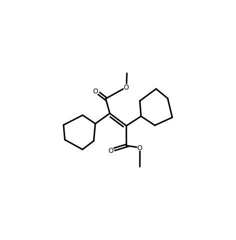 COC(=O)C(=C(C(=O)OC)C1CCCCC1)C1CCCCC1